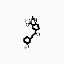 COc1cccc(/C=C/C(=O)c2ccc3nc(C)[nH]c(=O)c3c2)c1